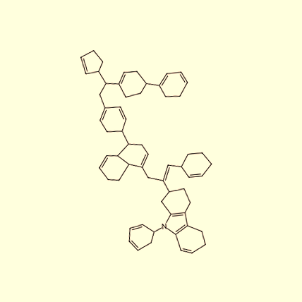 C1=CCCC(C2CC=C(C(CC3=CCC(C4CC=C(C/C(=C/C5C=CCCC5)C5CCc6c7c(n(C8C=CC=CC8)c6C5)C=CCC7)C5CCC=CC54)C=C3)C3C=CCC3)CC2)=C1